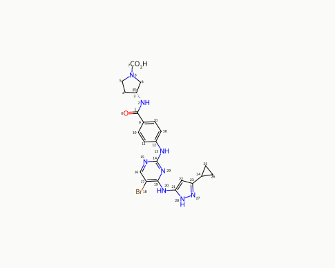 O=C(N[C@@H]1CCN(C(=O)O)C1)c1ccc(Nc2ncc(Br)c(Nc3cc(C4CC4)n[nH]3)n2)cc1